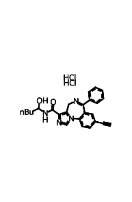 C#Cc1ccc2c(c1)C(c1ccccc1)=NCc1c(C(=O)NC(O)CCCC)ncn1-2.Cl.Cl